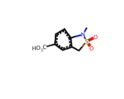 CN1c2ccc(C(=O)O)cc2CS1(=O)=O